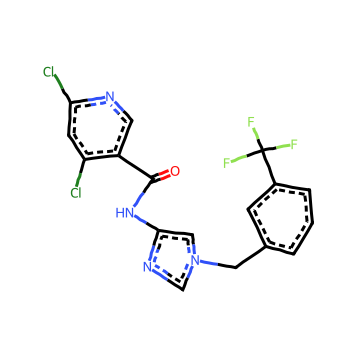 O=C(Nc1cn(Cc2cccc(C(F)(F)F)c2)cn1)c1cnc(Cl)cc1Cl